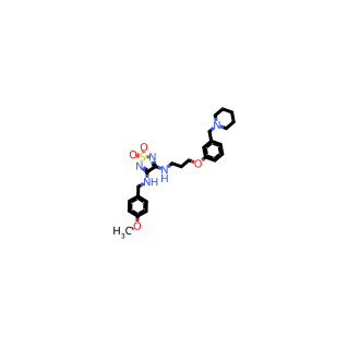 COc1ccc(CNC2=NS(=O)(=O)N=C2NCCCOc2cccc(CN3CCCCC3)c2)cc1